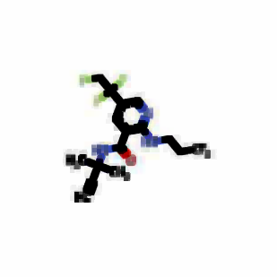 C#CC(C)(C)NC(=O)c1cc(C(F)(F)CF)cnc1NCCC(F)(F)F